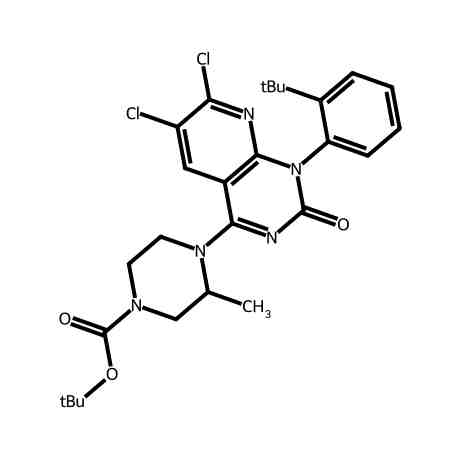 CC1CN(C(=O)OC(C)(C)C)CCN1c1nc(=O)n(-c2ccccc2C(C)(C)C)c2nc(Cl)c(Cl)cc12